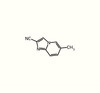 Cc1ccc2nc(C#N)cn2c1